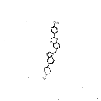 COc1ccc(C2COc3cc(Cn4cnc5cc(N6CCN(C)CC6)cnc54)ccc3O2)cn1